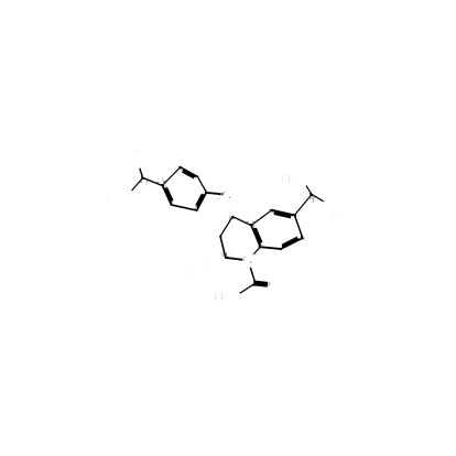 CC(=O)N1c2ccc(C(C)C)cc2[C@@H](Nc2ccc(C(C)C)cc2)C[C@H]1C